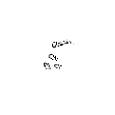 [Cl-].[Cl-].[Cl-].[Os+3]